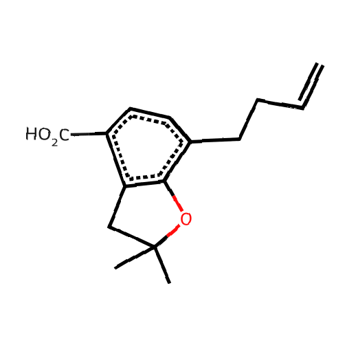 C=CCCc1ccc(C(=O)O)c2c1OC(C)(C)C2